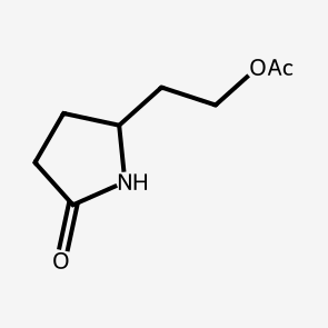 CC(=O)OCCC1CCC(=O)N1